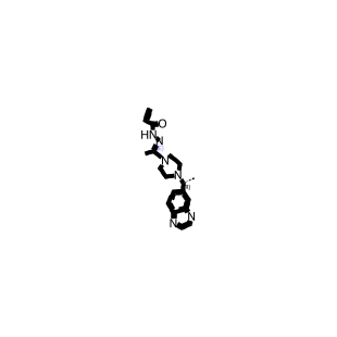 C=CC(=O)N/N=C(\C)N1CCN([C@H](C)c2ccc3nccnc3c2)CC1